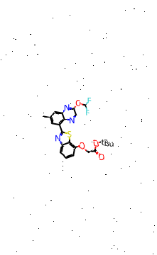 Cc1cc(-c2nc3cccc(OCC(=O)OC(C)(C)C)c3s2)c2ncc(OC(F)F)nc2c1